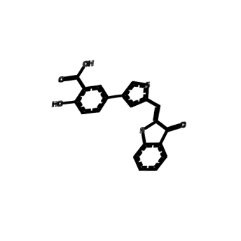 O=C(O)c1cc(-c2csc(/C=C3\Sc4ccccc4C3=O)c2)ccc1O